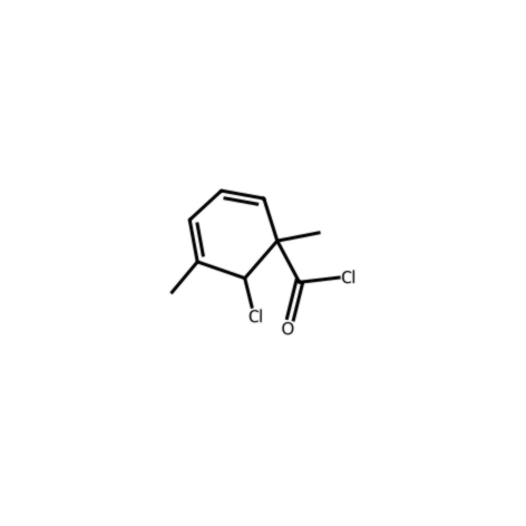 CC1=CC=CC(C)(C(=O)Cl)C1Cl